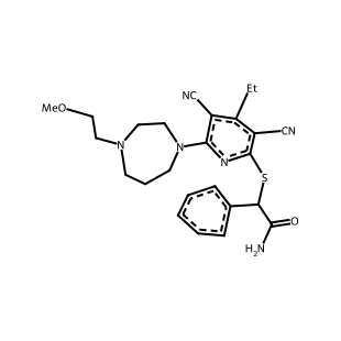 CCc1c(C#N)c(SC(C(N)=O)c2ccccc2)nc(N2CCCN(CCOC)CC2)c1C#N